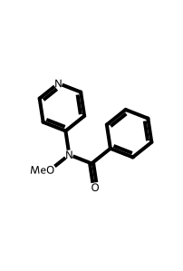 CON(C(=O)c1ccccc1)c1ccncc1